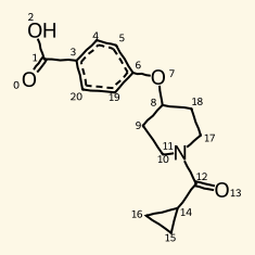 O=C(O)c1ccc(OC2CCN(C(=O)C3CC3)CC2)cc1